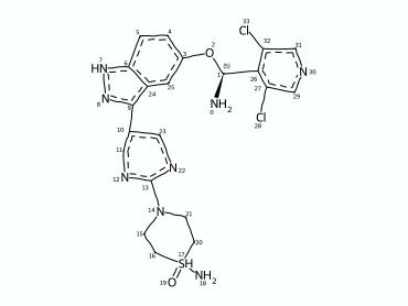 N[C@@H](Oc1ccc2[nH]nc(-c3cnc(N4CC[SH](N)(=O)CC4)nc3)c2c1)c1c(Cl)cncc1Cl